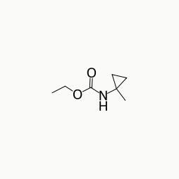 CCOC(=O)NC1(C)CC1